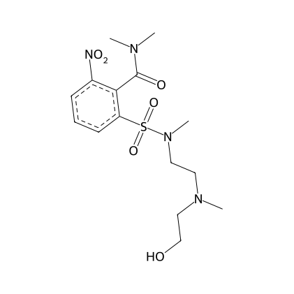 CN(CCO)CCN(C)S(=O)(=O)c1cccc([N+](=O)[O-])c1C(=O)N(C)C